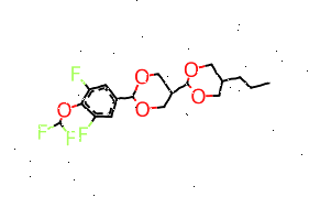 CCCC1COC(C2COC(c3cc(F)c(OC(F)F)c(F)c3)OC2)OC1